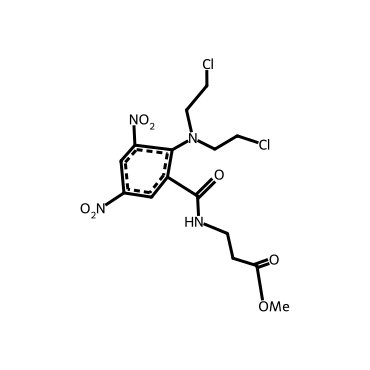 COC(=O)CCNC(=O)c1cc([N+](=O)[O-])cc([N+](=O)[O-])c1N(CCCl)CCCl